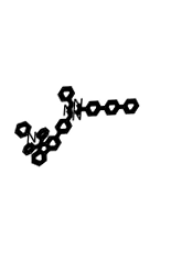 c1ccc(-c2ccc(-c3ccc(-c4nc(-c5ccccc5)nc(-c5ccc(-c6ccc7c(c6)C6(c8ccccc8-7)c7ccccc7N(c7ccccc7)c7ccccc76)cc5)n4)cc3)cc2)cc1